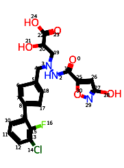 O=C(NN(Cc1ccc(-c2cccc(Cl)c2F)cc1)CC(O)C(=O)O)c1cc(O)no1